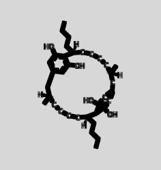 CCCC[C@H]1CCCC[C@H](C)Cc2cc(O)c(c(O)c2)[C@@H](CCCC)CCCC[C@H](C)Cc2cc(O)c1c(O)c2